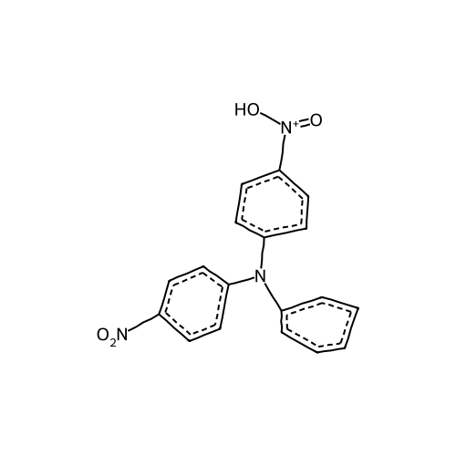 O=[N+]([O-])c1ccc(N(c2ccccc2)c2ccc([N+](=O)O)cc2)cc1